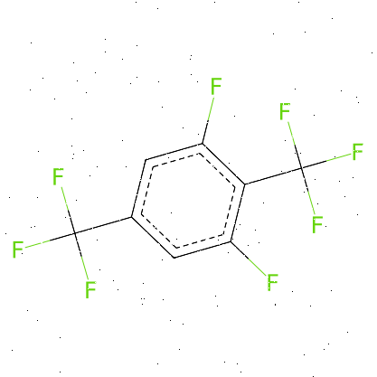 Fc1cc(C(F)(F)F)cc(F)c1C(F)(F)F